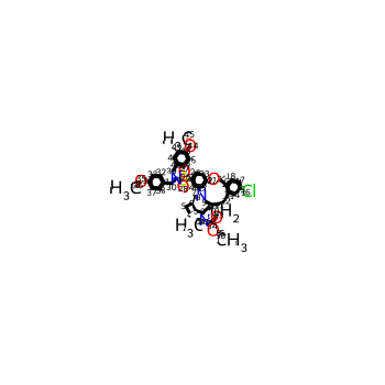 C=C[C@H]([C@@H]1CC[C@H]1CN1CCCCc2cc(Cl)ccc2COc2ccc(S(=O)(=O)N(Cc3ccc(OC)cc3)Cc3ccc(OC)cc3)cc21)N(C)C(=O)OCC